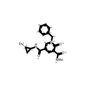 CC[C@H]1CC1NC(=O)c1cc(C(=O)NC)c(=O)n(Cc2ccccc2)c1